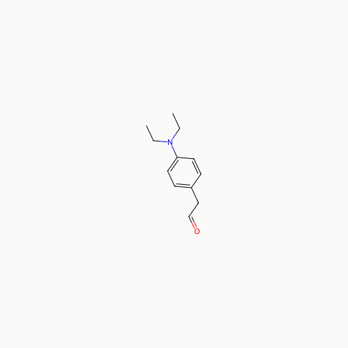 CCN(CC)c1ccc(CC=O)cc1